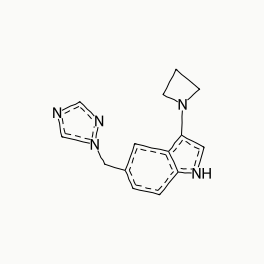 c1ncn(Cc2ccc3[nH]cc(N4CCC4)c3c2)n1